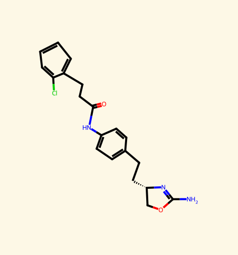 NC1=N[C@@H](CCc2ccc(NC(=O)CCc3ccccc3Cl)cc2)CO1